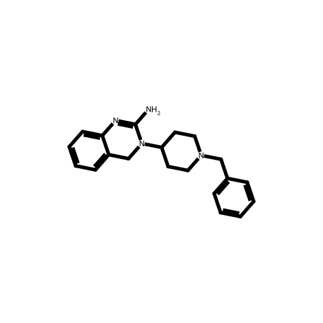 NC1=Nc2ccccc2CN1C1CCN(Cc2ccccc2)CC1